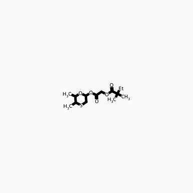 CCC(C)(C)C(=O)OCC(=O)OC1CSC(C)C(C)O1